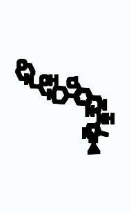 Cc1c(Nc2ncc3cc(Cl)c(C4CCN(CC(O)CN5CCOCC5)CC4)cc3n2)cnn1C1CC1